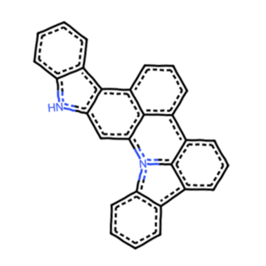 c1ccc2c(c1)[nH]c1cc3c4c(cccc4c12)c1cccc2c4ccccc4n3c12